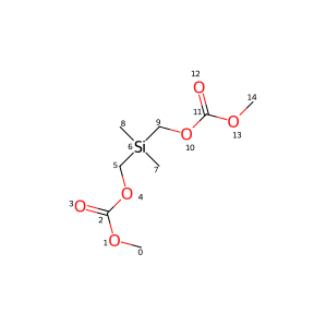 COC(=O)OC[Si](C)(C)COC(=O)OC